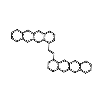 C(=Cc1cccc2cc3cc4ccccc4cc3cc12)c1cccc2cc3cc4ccccc4cc3cc12